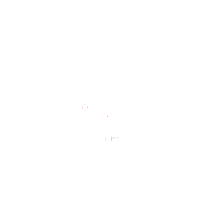 Cc1cccc(C(=O)OCC=O)c1